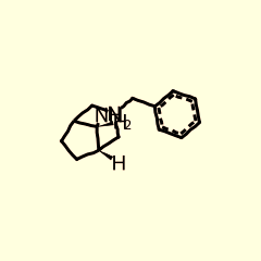 N[C@H]1C2CC[C@H]1CN(Cc1ccccc1)C2